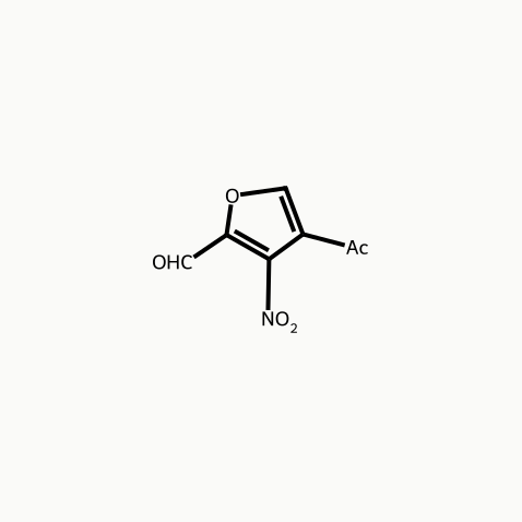 CC(=O)c1coc(C=O)c1[N+](=O)[O-]